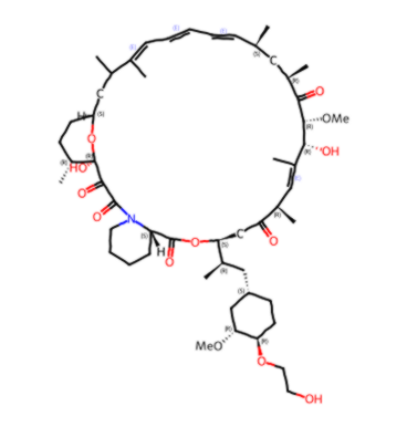 CO[C@@H]1C[C@H](C[C@@H](C)[C@@H]2CC(=O)[C@H](C)/C=C(\C)[C@@H](O)[C@@H](OC)C(=O)[C@H](C)C[C@H](C)/C=C/C=C/C=C(\C)C(C)C[C@@H]3CC[C@@H](C)[C@@](O)(O3)C(=O)C(=O)N3CCCC[C@H]3C(=O)O2)CC[C@H]1OCCO